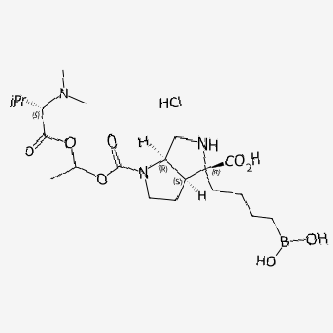 CC(OC(=O)[C@H](C(C)C)N(C)C)OC(=O)N1CC[C@H]2[C@@H]1CN[C@@]2(CCCCB(O)O)C(=O)O.Cl